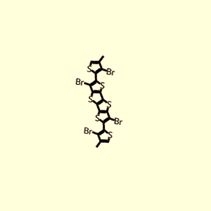 Cc1csc(-c2sc3c(sc4c5sc(-c6scc(C)c6Br)c(Br)c5sc34)c2Br)c1Br